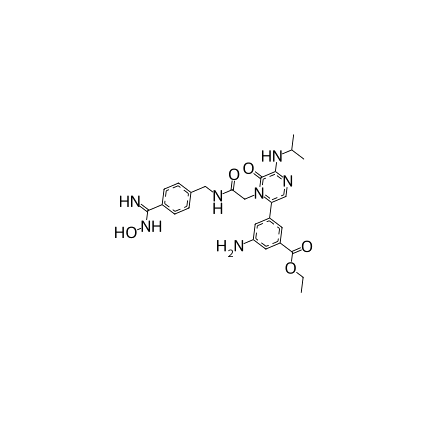 CCOC(=O)c1cc(N)cc(-c2cnc(NC(C)C)c(=O)n2CC(=O)NCc2ccc(C(=N)NO)cc2)c1